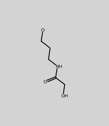 [O]CCCNC(=O)CO